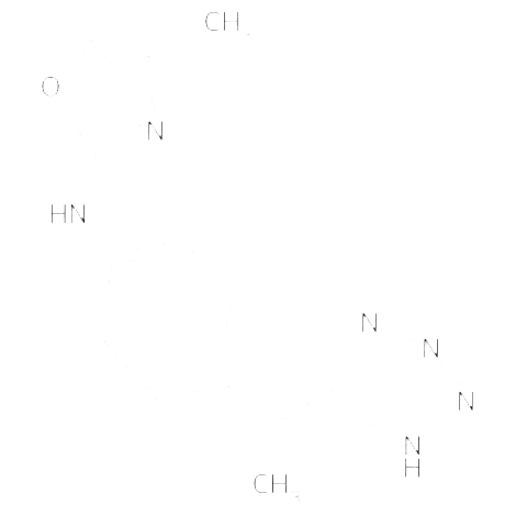 Cc1coc(Nc2ccc([C@@H](C)c3nnn[nH]3)cc2)n1